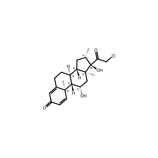 C[C@H]1C[C@H]2[C@@H]3CCC4=CC(=O)C=C[C@]4(C)[C@H]3[C@@H](O)C[C@]2(C)[C@@]1(O)C(=O)CCl